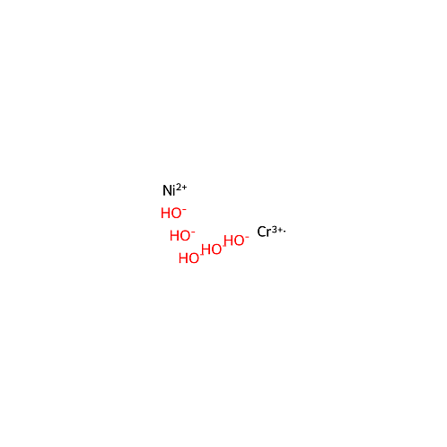 [Cr+3].[Ni+2].[OH-].[OH-].[OH-].[OH-].[OH-]